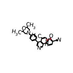 C/C(=C/NC=O)c1c(-c2ccc(C#N)cc2)cncc1-c1ccc(N2CC(C)OC(C)C2)cc1